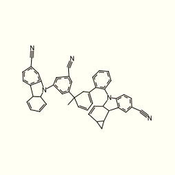 CC1(c2cc(C#N)cc(N3c4cc(C#N)ccc4C4C=CC=CC43)c2)C=CC=C(c2ccccc2N2c3ccc(C#N)cc3C3C4CC4C=CC32)C1